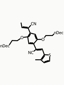 C/C=C(\C#N)c1cc(OCCCCCCCCCCCC)c(/C(C#N)=C/c2sccc2C)cc1OCCCCCCCCCCCC